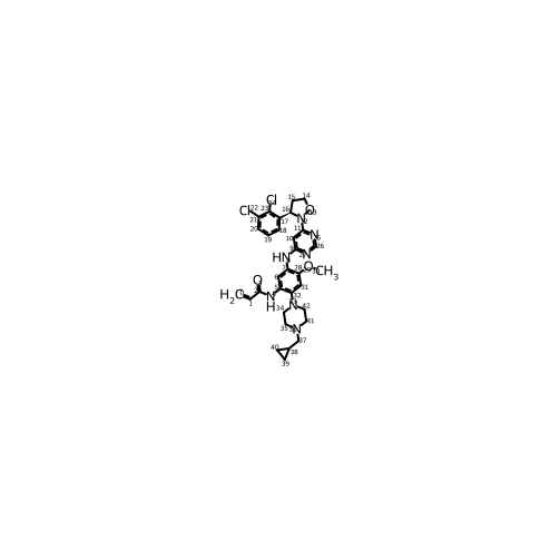 C=CC(=O)Nc1cc(Nc2cc(N3OCC[C@@H]3c3cccc(Cl)c3Cl)ncn2)c(OC)cc1N1CCN(CC2CC2)CC1